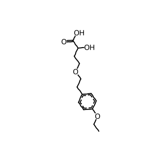 CCOc1ccc(CCOCCC(O)C(=O)O)cc1